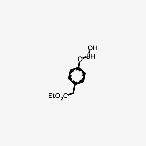 CCOC(=O)Cc1ccc(OBO)cc1